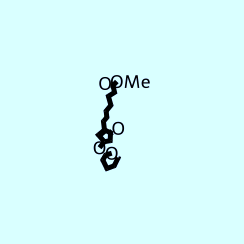 COC(=O)CCCCCCC1=CC(O[C@@H]2CCCCO2)CC1=O